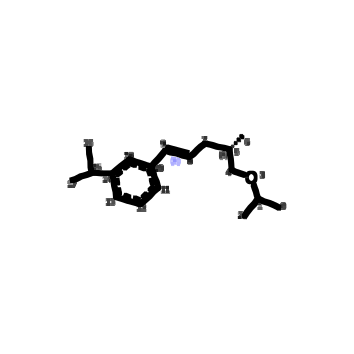 CC(C)OC[C@@H](C)C/C=C/c1cccc(C(C)C)c1